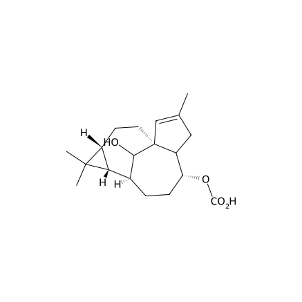 CC1=C[C@@]23CC[C@@H]4[C@H]([C@H](CC[C@@H](OC(=O)O)C2C1)C3O)C4(C)C